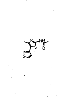 CC(=O)Nc1nc(C)c(-c2ccsc2)s1